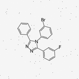 Fc1cccc(-c2nnc(-c3ccccc3)n2-c2cccc(Br)c2)c1